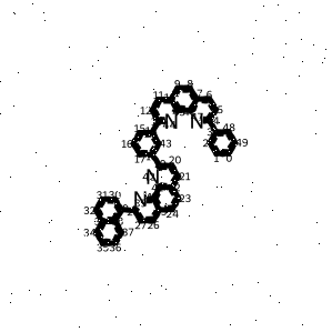 c1ccc(-c2ccc3ccc4ccc(-c5cccc(-c6ccc7ccc8ccc(-c9cccc%10ccccc9%10)nc8c7n6)c5)nc4c3n2)cc1